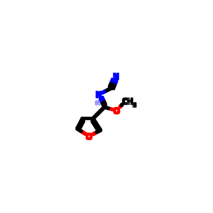 CO/C(=N\C#N)c1ccoc1